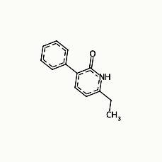 CCc1ccc(-c2ccccc2)c(=O)[nH]1